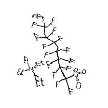 CCCC(F)(F)C(F)(F)C(F)(F)C(F)(F)C(F)(F)C(F)(F)C(F)(F)S(=O)(=O)[O-].CC[N+](CC)(CC)CC